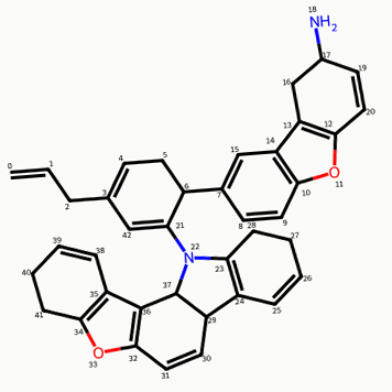 C=CCC1=CCC(c2ccc3oc4c(c3c2)CC(N)C=C4)C(N2C3=C(C=CCC3)C3C=Cc4oc5c(c4C32)C=CCC5)=C1